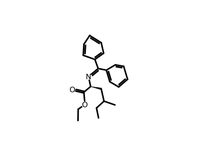 CCOC(=O)[C@H](CC(C)CC)N=C(c1ccccc1)c1ccccc1